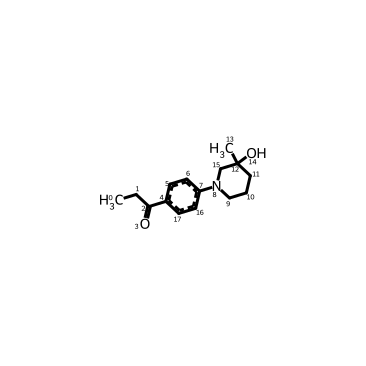 CCC(=O)c1ccc(N2CCCC(C)(O)C2)cc1